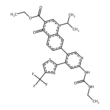 CCNC(=O)Nc1cc(-c2nc(C(F)(F)F)cs2)c(-c2ccc3c(=O)c(C(=O)OCC)cn(C(C)C)c3c2)cn1